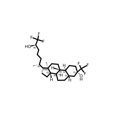 C[C@H](CCC[C@@H](O)C(F)(F)F)[C@H]1CC[C@H]2[C@@H]3CC[C@H]4C[C@](O)(C(F)(F)F)CC[C@@H]4[C@H]3CC[C@]12C